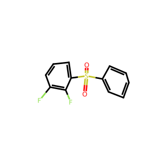 O=S(=O)(c1ccccc1)c1cccc(F)c1F